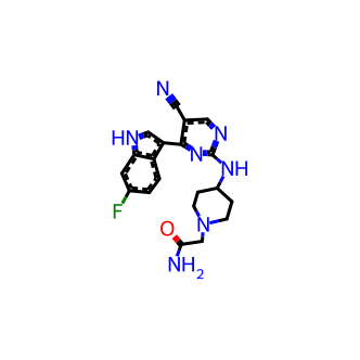 N#Cc1cnc(NC2CCN(CC(N)=O)CC2)nc1-c1c[nH]c2cc(F)ccc12